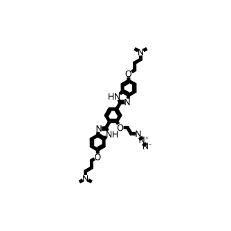 CN(C)CCCOc1ccc2nc(-c3ccc(-c4nc5ccc(OCCCN(C)C)cc5[nH]4)c(OCCN=[N+]=[N-])c3)[nH]c2c1